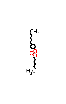 CCCCCCCOC(=O)Oc1ccc(CCCCCC)cc1